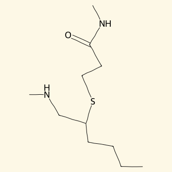 CCCCC(CNC)SCCC(=O)NC